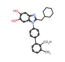 Cc1cccc(-c2ccc(-n3c(CC4CCCCC4)nc4cc(O)c(O)cc43)cc2)c1C(=O)O